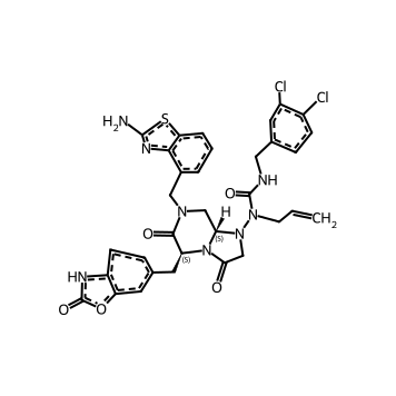 C=CCN(C(=O)NCc1ccc(Cl)c(Cl)c1)N1CC(=O)N2[C@@H](Cc3ccc4[nH]c(=O)oc4c3)C(=O)N(Cc3cccc4sc(N)nc34)C[C@@H]21